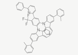 Cc1ccccc1-c1ccc2c(c1)c1ccccc1n2-c1cc(-c2cccc(-c3ccccc3)n2)c(C(F)(F)F)cc1-n1c2ccccc2c2cc(-c3ccccc3C)ccc21